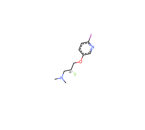 CN(C)C[C@@H](F)COc1ccc(I)nc1